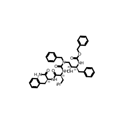 CC(C)C[C@H](NC(=O)N(Cc1ccccc1)C[C@@H](O)[C@H](Cc1ccccc1)NC(=O)OCc1ccccc1)C(=O)N[C@@H](Cc1ccccc1)C(N)=O